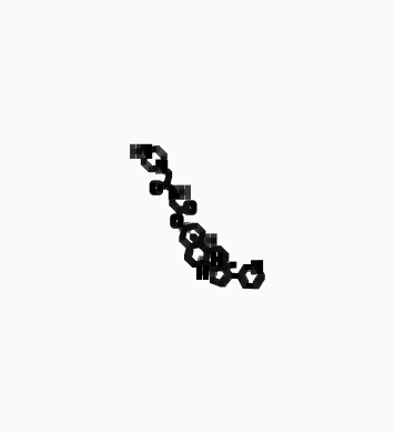 C[C@]12CC[C@H](OC(=O)CNC(=O)CN3CCNCC3)CC1=CC[C@@H]1[C@@H]2CC[C@]2(C)C(c3cccnc3)=CC[C@@H]12